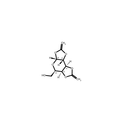 C=C1O[C@H]2[C@@H](O1)[C@@H](CO)O[C@@H]1OC(=C)O[C@@H]12